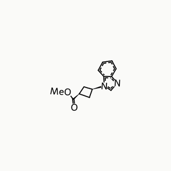 COC(=O)[C@H]1C[C@@H](n2cnc3ccccc32)C1